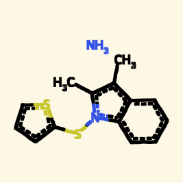 Cc1c(C)n(Sc2cccs2)c2ccccc12.N